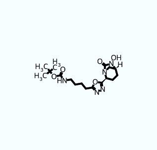 CC(C)(C)OC(=O)NCCCCc1nnc([C@@H]2CC[C@H]3CN2C(=O)N3O)o1